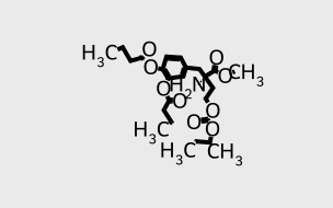 CCCC(=O)Oc1ccc(C[C@](N)(CCOC(=O)O[C@@H](C)CC)C(=O)OC)cc1OC(=O)CCC